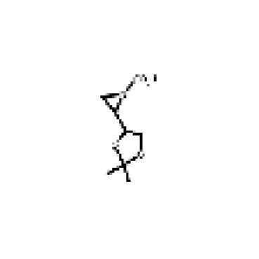 CC1(C)OCC(C2CN2C(=O)O)O1